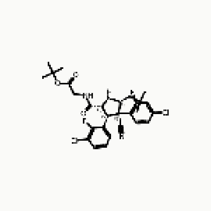 CC(C)(C)C[C@@H]1N[C@@H](C(=O)NCC(=O)OC(C)(C)C)[C@H](c2cccc(Cl)c2F)[C@@]1(C#N)c1ccc(Cl)cc1F